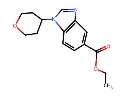 CCOC(=O)c1ccc2c(c1)ncn2C1CCOCC1